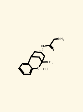 CC12CC(C[C@H](NC(=O)CN)C1)c1ccccc1O2.Cl